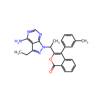 CCc1nn(C(C)c2oc(=O)c3ccccc3c2-c2cccc(C)c2)c2ncnc(N)c12